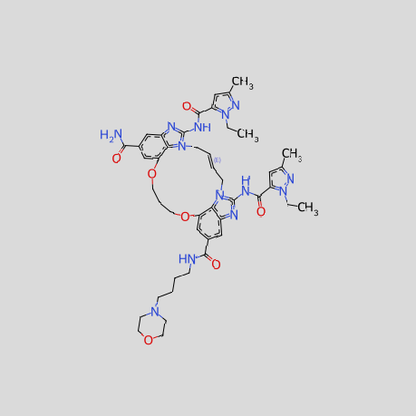 CCn1nc(C)cc1C(=O)Nc1nc2cc(C(N)=O)cc3c2n1C/C=C/Cn1c(NC(=O)c2cc(C)nn2CC)nc2cc(C(=O)NCCCCN4CCOCC4)cc(c21)OCCCO3